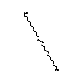 OCCCCCCCCCC[Se][Se]CCCCCCCCCCO